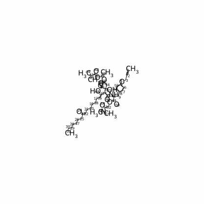 CC#CCOc1ccc(C[C@H](NC(=O)[C@@H](/C=C/CCCCCCC(=O)CCCCCCC)[C@@](O)(CC(=O)OC(C)OC(=O)C(C)C)C(=O)O)C(=O)OCC(=O)N(C)C)cc1